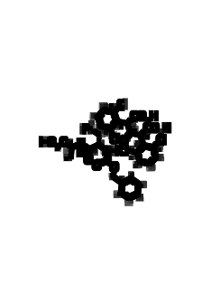 CC(C)C[C@H](NC(=O)OCc1ccccc1)C(=O)N[C@@H](C)C(=O)O.O=C(O)C(C(=O)C(C(=O)O)c1c(Cl)cccc1Cl)c1c(Cl)cccc1Cl